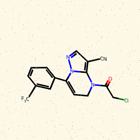 N#Cc1cnn2c1N(C(=O)CCl)CC=C2c1cccc(C(F)(F)F)c1